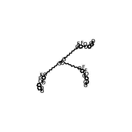 O=C(Oc1ccc2ccc(=O)oc2c1)c1ccc(OCCCCCCCCCCOCC(COCCCCCCCCCCOc2ccc(C(=O)Oc3ccc4ccc(=O)oc4c3)c(F)c2F)OCCCCCCCCCCOc2ccc(C(=O)Oc3ccc4ccc(=O)oc4c3)c(F)c2F)c(F)c1F